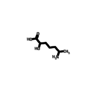 CC(N)CCCC(O)C(=O)O